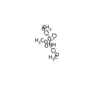 CCOC(=O)/C(NCc1ccc(OC)cc1)=C(/Cc1ccccc1)OCc1ccc(OC)cc1